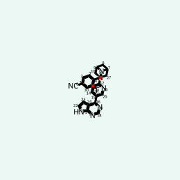 N#Cc1ccc(CN2C3CC2CN(c2ccc(-c4ncnc5[nH]ccc45)cn2)C3)c(F)c1